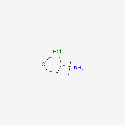 CC(C)(N)C1CCOCC1.Cl